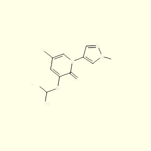 CC(C)Nc1cc(Cl)cn(-c2cnn(C)c2)c1=O